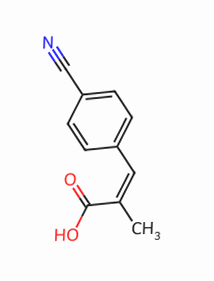 CC(=Cc1ccc(C#N)cc1)C(=O)O